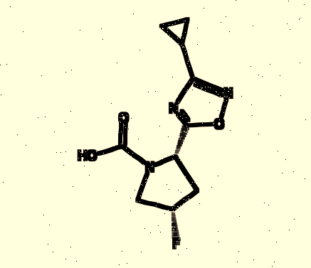 O=C(O)N1C[C@@H](F)C[C@H]1c1nc(C2CC2)no1